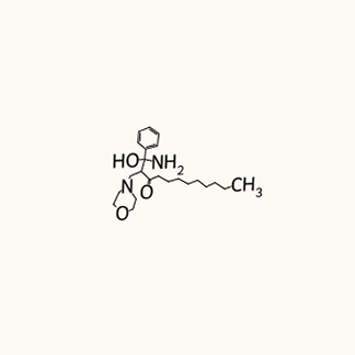 CCCCCCCCCC(=O)C(CN1CCOCC1)C(N)(O)c1ccccc1